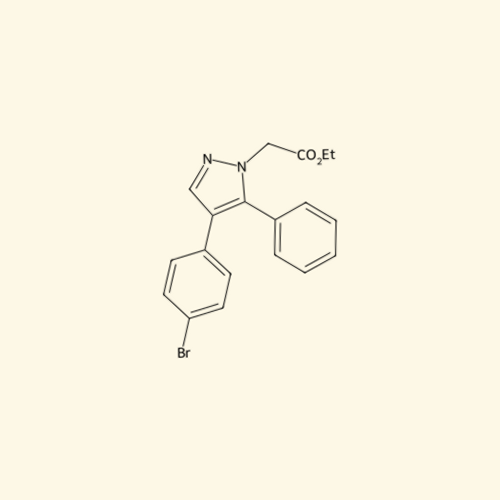 CCOC(=O)Cn1ncc(-c2ccc(Br)cc2)c1-c1ccccc1